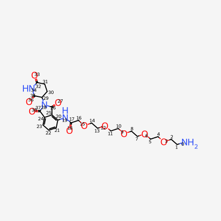 NCCOCCOCCOCCOCCOCC(=O)Nc1cccc2c1C(=O)N(C1CCC(=O)NC1=O)C2=O